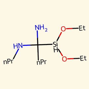 CCCNC(N)(CCC)[SiH](OCC)OCC